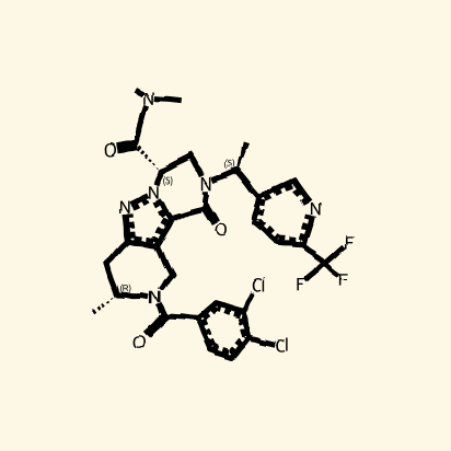 C[C@@H]1Cc2nn3c(c2CN1C(=O)c1ccc(Cl)c(Cl)c1)C(=O)N([C@@H](C)c1ccc(C(F)(F)F)nc1)C[C@H]3C(=O)N(C)C